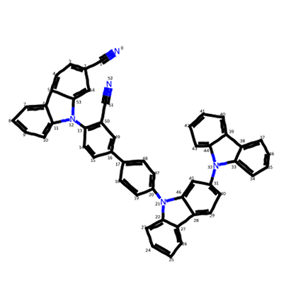 N#Cc1ccc2c3ccccc3n(-c3ccc(-c4ccc(-n5c6ccccc6c6ccc(-n7c8ccccc8c8ccccc87)cc65)cc4)cc3C#N)c2c1